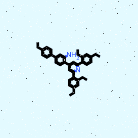 CCc1ccc(-c2ccc(-c3cc(-c4ccc(CC)cc4CC)nc(-c4ccc(CC)cc4CC)c3)c(N)c2)cc1